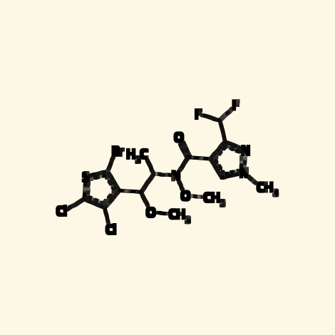 COC(c1c(Br)sc(Cl)c1Cl)C(C)N(OC)C(=O)c1cn(C)nc1C(F)F